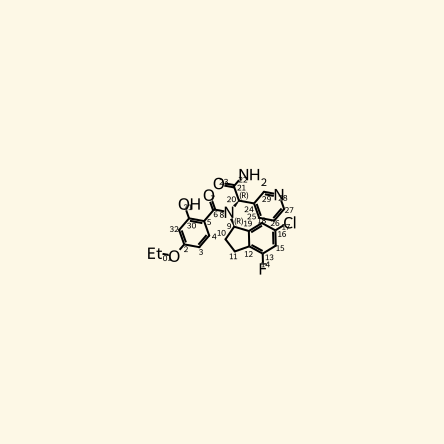 CCOc1ccc(C(=O)N([C@@H]2CCc3c(F)cc(Cl)cc32)[C@@H](C(N)=O)c2cccnc2)c(O)c1